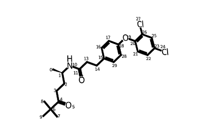 C[C@H](CCC(=O)C(C)(C)C)NC(=O)CCc1ccc(Oc2ccc(Cl)cc2Cl)cc1